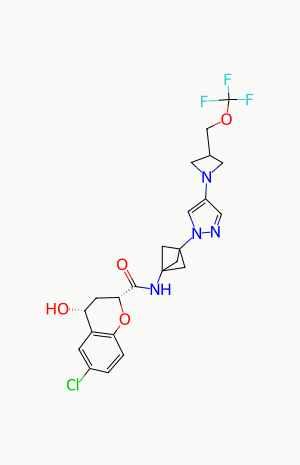 O=C(NC12CC(n3cc(N4CC(COC(F)(F)F)C4)cn3)(C1)C2)[C@H]1C[C@@H](O)c2cc(Cl)ccc2O1